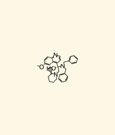 COc1ccc2nccc([C@](O)(CN3CCCCC3=O)N(Cc3ccccc3)Cc3ccccc3)c2c1